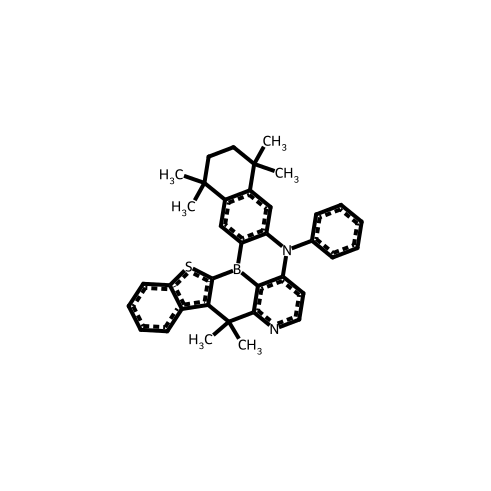 CC1(C)CCC(C)(C)c2cc3c(cc21)B1c2sc4ccccc4c2C(C)(C)c2nccc(c21)N3c1ccccc1